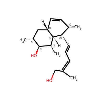 CC(=CC=C[C@@H]1[C@H]2[C@H](C)[C@@H](O)[C@H](C)C[C@@H]2C=C[C@@H]1C)CO